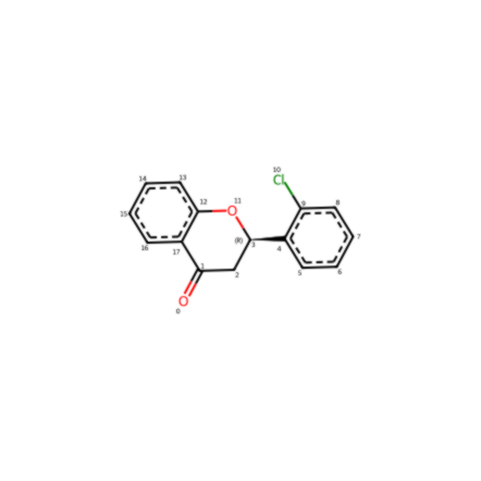 O=C1C[C@H](c2ccccc2Cl)Oc2ccccc21